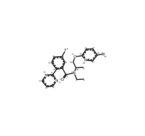 CCN(C(=O)c1cc(F)ccc1-c1ncccn1)C(C)COc1ccc(Br)cn1